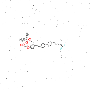 C=C(C)C(=O)OCC(CO)Oc1ccc(CCc2ccc(C3CCC(CCCCC=C(F)F)CC3)cc2)cc1